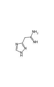 N=C(N)Cc1nc[nH]n1